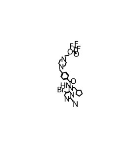 N#Cc1ncc(Br)c(N(CC2CCCC2)NC(=O)c2ccc(CN3CCN(CCOC(=O)C(F)(F)F)CC3)cc2)n1